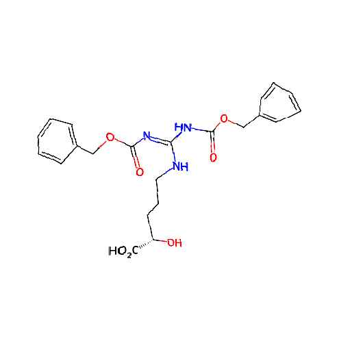 O=C(/N=C(\NCCC[C@H](O)C(=O)O)NC(=O)OCc1ccccc1)OCc1ccccc1